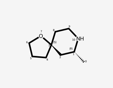 C[C@@H]1C[C@]2(CCCO2)CCN1